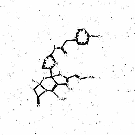 CON=CC(=O)NC1(c2csc(NC(=S)Cc3ccc(O)nn3)n2)S[C@@H]2CC(=O)N2C(C(=O)O)=C1COC(C)=O